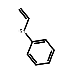 C=[CH][Sn][c]1ccccc1